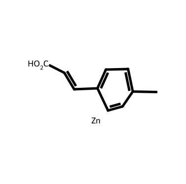 Cc1ccc(/C=C/C(=O)O)cc1.[Zn]